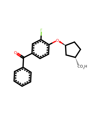 O=C(c1ccccc1)c1ccc(O[C@H]2CC[C@H](C(=O)O)C2)c(F)c1